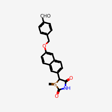 C=S1C(=O)NC(=O)C1c1ccc2cc(OCc3ccc(C=O)cc3)ccc2c1